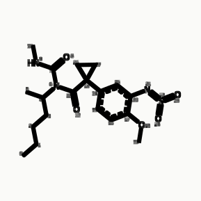 CCCCC(C)N(C(=O)NC)C(=O)C1(c2ccc(OC)c(N=S(=O)=O)c2)CC1